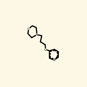 [c]1cncc(OCCCN2CCOCC2)c1